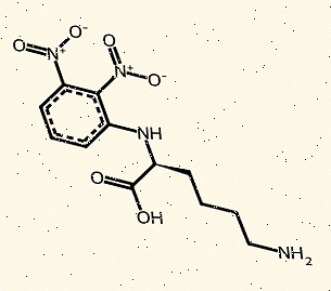 NCCCC[C@H](Nc1cccc([N+](=O)[O-])c1[N+](=O)[O-])C(=O)O